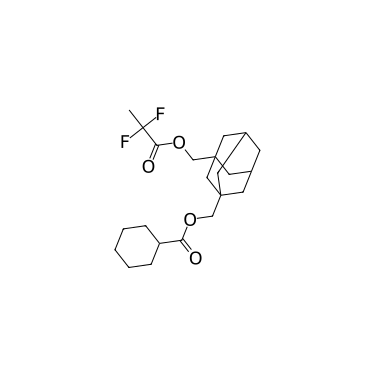 CC(F)(F)C(=O)OCC12CC3CC(CC(COC(=O)C4CCCCC4)(C3)C1)C2